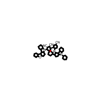 N#Cc1ccc(-n2c3ccccc3c3ccc4c(c5ccccc5n4-c4ccccc4)c32)c(-c2ccc(-n3c4ccccc4c4c5c(ccc43)oc3ccccc35)c(C#N)c2C#N)c1